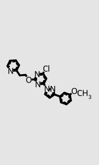 COc1cccc(-c2ccn(-c3cc(Cl)nc(OCCc4ccccn4)n3)n2)c1